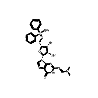 CN(C)/C=N/c1nc2c(ncn2[C@@H]2O[C@H](CO[Si](c3ccccc3)(c3ccccc3)C(C)(C)C)[C@H](Br)[C@H]2O)c(=O)[nH]1